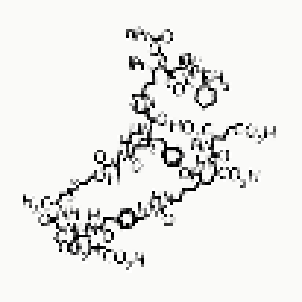 CCCC(=O)OCN(C(=O)[C@@H](NC(=O)[C@H]1CCCCN1C)C(C)CC)[C@H](CCc1nc(C(=O)N[C@@H](Cc2ccc(O)cc2)C[C@H](C)C(=O)NNC(=O)OCCSSC[C@@H](C)NC(=O)[C@H](CC(=O)O)NC(=O)[C@H](CCC(=O)O)NC(=O)Cc2ccc(CNC(=O)NCCCCC[C@H](NC(=O)N[C@@H](CCC(=O)O)C(=O)O)C(=O)O)cc2)cs1)C(C)C